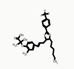 CCCCCCC1N=C(c2ccc(C(F)(F)F)cc2)SC1C/C=C/c1ccc(OC(C)(C)C(=O)O)c(C)c1